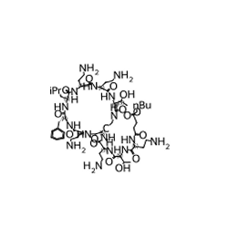 CCCCOC(=O)CCC(=O)N[C@@H](CCN)C(=O)N[C@H](C(=O)N[C@@H](CCN)C(=O)N[C@H]1CCNC(=O)[C@H]([C@H](C)O)NC(=O)[C@H](CCN)NC(=O)[C@H](CCN)NC(=O)[C@H](CC(C)C)NC(=O)[C@@H](Cc2ccccc2)NC(=O)[C@H](CCN)NC1=O)C(C)O